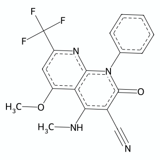 CNc1c(C#N)c(=O)n(-c2ccccc2)c2nc(C(F)(F)F)cc(OC)c12